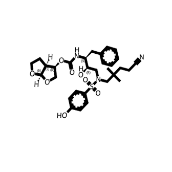 CC(C)(CCC#N)CN(C[C@@H](O)[C@H](Cc1ccccc1)NC(=O)O[C@H]1CO[C@H]2OCC[C@H]21)S(=O)(=O)c1ccc(O)cc1